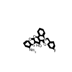 Nc1ccccc1Sc1c(O)c2c(=O)n(Cc3ccc(F)cc3)c3ccccc3c2oc1=O